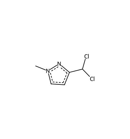 Cn1ccc(C(Cl)Cl)n1